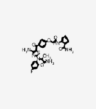 CC(C(N)=O)N(c1ccc(F)cc1)c1nc(N)c(C(=O)c2ccc(OCC(=O)Nc3ccccc3C(N)=O)cc2)s1